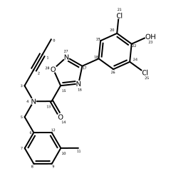 CC#CCN(Cc1cccc(C)c1)C(=O)c1nc(-c2cc(Cl)c(O)c(Cl)c2)no1